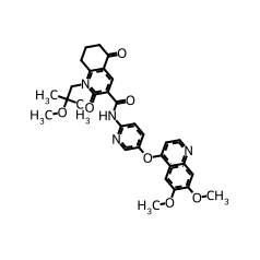 COc1cc2nccc(Oc3ccc(NC(=O)c4cc5c(n(CC(C)(C)OC)c4=O)CCCC5=O)nc3)c2cc1OC